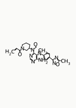 C=CC(=O)N1CCCC(N(C=O)c2ncnc(N)c2N(C)c2ccc(-c3noc(C)n3)cc2)C1